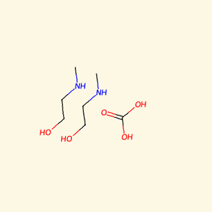 CNCCO.CNCCO.O=C(O)O